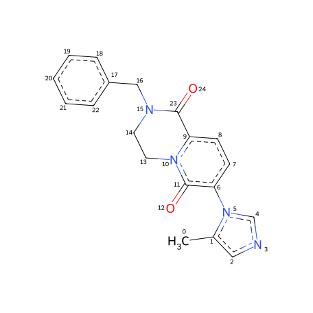 Cc1cncn1-c1ccc2n(c1=O)CCN(Cc1ccccc1)C2=O